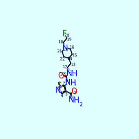 NC(=O)c1cnsc1NC(=O)NCCC1CCN(CCF)CC1